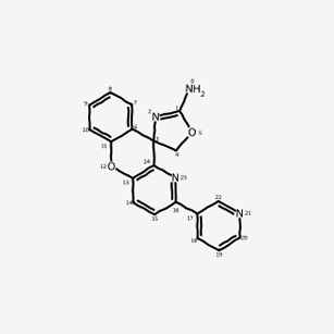 NC1=NC2(CO1)c1ccccc1Oc1ccc(-c3cccnc3)nc12